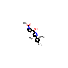 COc1cc(C)ccc1-c1nnc(C(O)C2CC3CC2N(C(=O)OC(C)(C)C)C3)cc1C